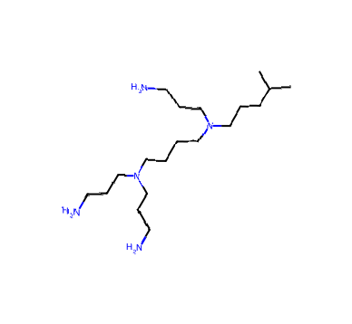 CC(C)CCCN(CCCN)CCCCN(CCCN)CCCN